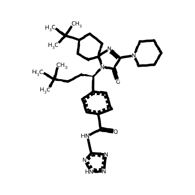 CC(C)(C)CC[C@H](c1ccc(C(=O)Nc2nn[nH]n2)cc1)N1C(=O)C(N2CCCCC2)=NC12CCC(C(C)(C)C)CC2